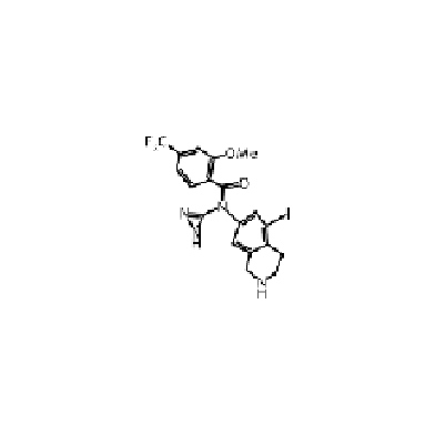 COc1cc(C(F)(F)F)ccc1C(=O)N(C1=NN1)c1cc(I)c2c(c1)CNCC2